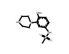 COc1ccc(NS(C)(=O)=O)cc1N1CCNCC1